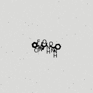 O=C(N[C@H]1COCc2c1cnn2-c1c(F)cccc1Cl)c1n[nH]c2c1CCCC2